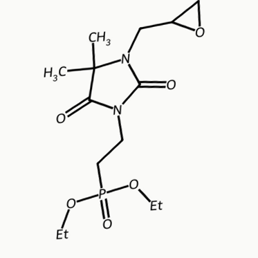 CCOP(=O)(CCN1C(=O)N(CC2CO2)C(C)(C)C1=O)OCC